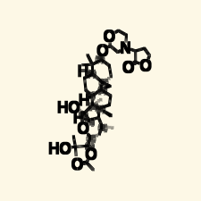 CC(=O)O[C@@H]([C@H]1C[C@@H](C)C2[C@H](O1)[C@H](O)[C@@]1(C)[C@@H]3CC[C@H]4C(C)(C)[C@@H](OC5CN(C6CCOC6=O)CCO5)CC[C@@]45C[C@@]35CC[C@]21C)C(C)(C)O